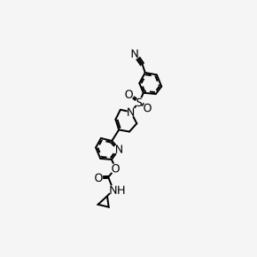 N#Cc1cccc(S(=O)(=O)N2CC=C(c3cccc(OC(=O)NC4CC4)n3)CC2)c1